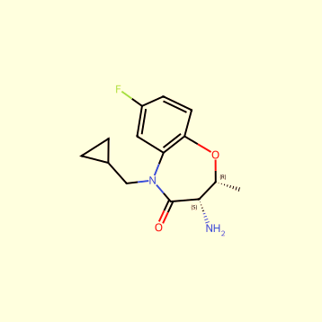 C[C@H]1Oc2ccc(F)cc2N(CC2CC2)C(=O)[C@H]1N